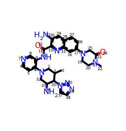 CC1CN(c2ccncc2NC(=O)c2nc3cc(N4CCN(C)C(=O)C4)ccc3cc2N)CC(N)C1n1ccnn1